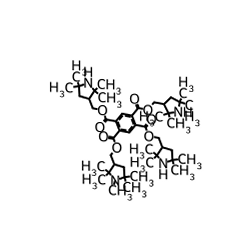 CN1C(C)(C)CC(COC(=O)c2cc(C(=O)OCC3CC(C)(C)NC3(C)C)c(C(=O)OCC3CC(C)(C)NC3(C)C)cc2C(=O)OCC2CC(C)(C)NC2(C)C)C1(C)C